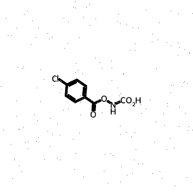 O=C(O)NOC(=O)c1ccc(Cl)cc1